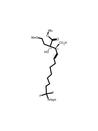 CCCCCCCC(F)(F)CCCCCC/C=C/[C@H](C(=O)O)[C@@](O)(CCOC)C(=O)OC(C)(C)C